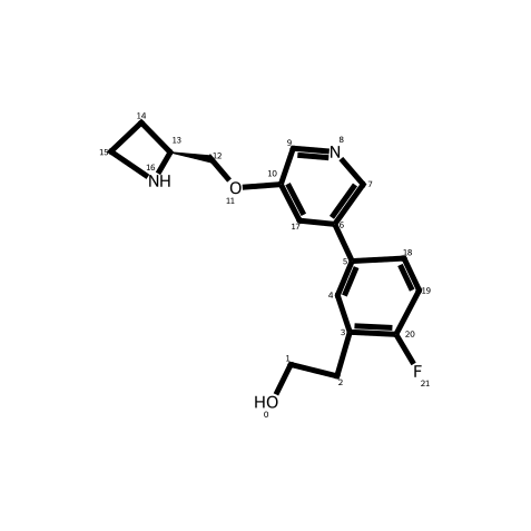 OCCc1cc(-c2cncc(OC[C@@H]3CCN3)c2)ccc1F